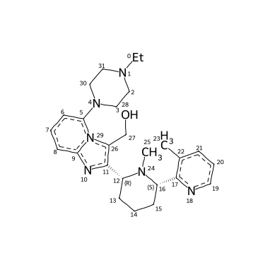 CCN1CCN(c2cccc3nc([C@H]4CCC[C@@H](c5ncccc5C)N4C)c(CO)n23)CC1